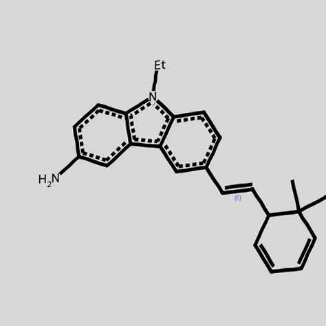 CCn1c2ccc(N)cc2c2cc(/C=C/C3C=CC=CC3(C)C)ccc21